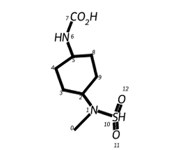 CN(C1CCC(NC(=O)O)CC1)[SH](=O)=O